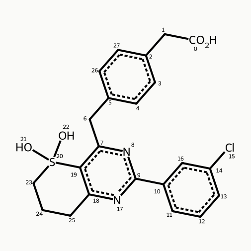 O=C(O)Cc1ccc(Cc2nc(-c3cccc(Cl)c3)nc3c2S(O)(O)CCC3)cc1